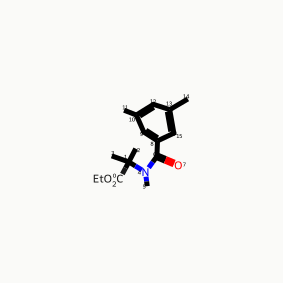 CCOC(=O)C(C)(C)N(C)C(=O)c1cc(C)cc(C)c1